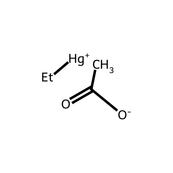 CC(=O)[O-].C[CH2][Hg+]